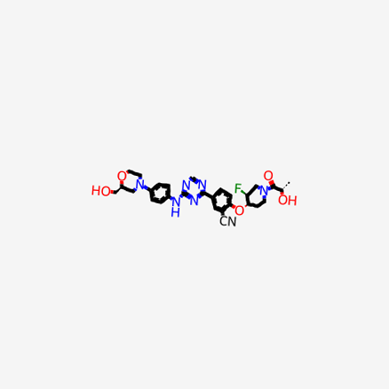 C[C@H](O)C(=O)N1CC[C@H](Oc2ccc(-c3ncnc(Nc4ccc(N5CCO[C@H](CO)C5)cc4)n3)cc2C#N)[C@@H](F)C1